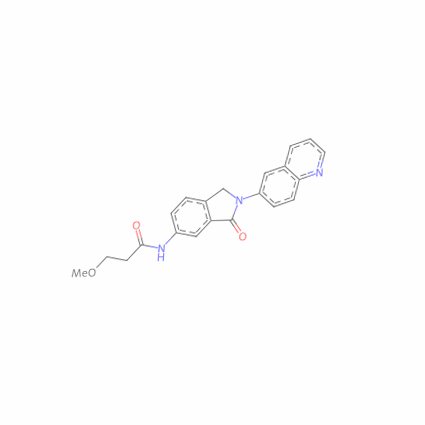 COCCC(=O)Nc1ccc2c(c1)C(=O)N(c1ccc3ncccc3c1)C2